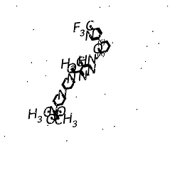 Cc1c(NC[C@H]2CCC[C@@H](c3ccc(C(F)(F)F)nc3)O2)ncnc1C(=O)N1CCC(N2CCC(N(C)S(C)(=O)=O)CC2)CC1